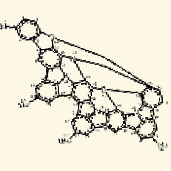 CC(C)(C)c1ccc2c(c1)-c1cc3c4c5c1B2c1cc2c6cc(C(C)(C)C)cc7c8cc9c%10cc(C(C)(C)C)cc%11c%12c%13c(c%14c%15c%12n(c9c9c8n(c2c(c1N5%14)B9%15)c67)c%10%11)B4c1c-3cc(C(C)(C)C)cc1-%13